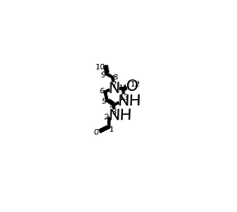 C=CCNC1=CCN(CC=C)C(=O)N1